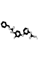 NC(=O)Oc1cc(Oc2ccc(NC(=O)OCc3ccccc3)c(F)c2)ccn1